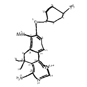 CNc1c(OC2CCC(N)CC2)ccc2c1CC(C)(C)c1c(N)ncnc1-2